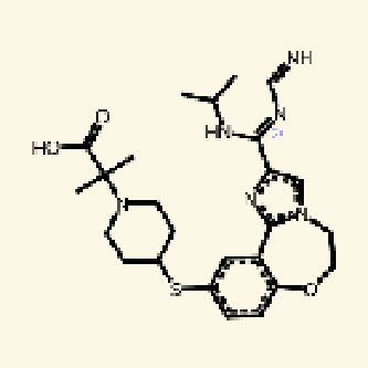 CC(C)N/C(=N\C=N)c1cn2c(n1)-c1cc(SC3CCN(C(C)(C)C(=O)O)CC3)ccc1OCC2